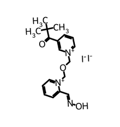 CC(C)(C)C(=O)c1ccc[n+](COC[n+]2ccccc2C=NO)c1.[I-].[I-]